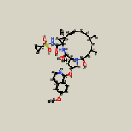 CCCOc1ccc2c(O[C@@H]3C[C@H]4C(=O)N[C@]5(C(=O)NS(=O)(=O)C6CC6)C[C@H]5/C=C\CC[C@@H](C)C[C@@H](C)CC(=O)N4C3)nccc2c1